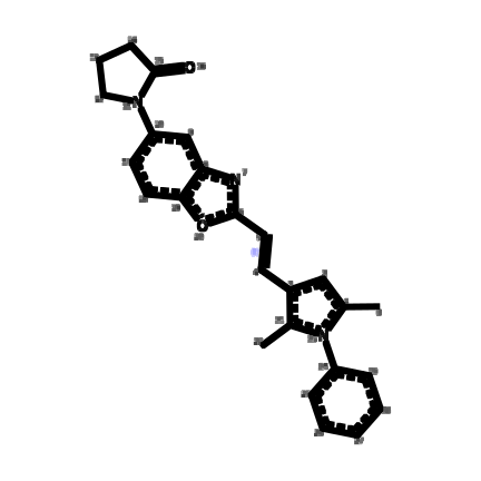 Cc1cc(/C=C/c2nc3cc(N4CCCC4=O)ccc3o2)c(C)n1-c1ccccc1